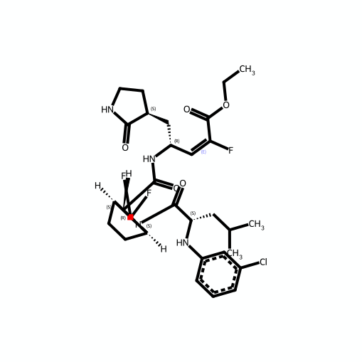 CCOC(=O)/C(F)=C\[C@@H](C[C@@H]1CCNC1=O)NC(=O)[C@H]1[C@@H]2CC[C@@H](CC2(F)F)N1C(=O)[C@H](CC(C)C)Nc1cccc(Cl)c1